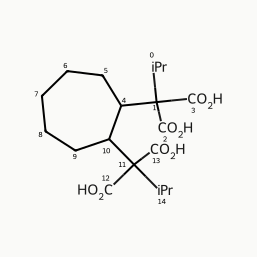 CC(C)C(C(=O)O)(C(=O)O)C1CCCCCC1C(C(=O)O)(C(=O)O)C(C)C